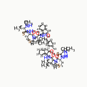 CN[C@@H](C)C(=S)N[C@H]1CCS[C@H]2CC(C)(C)[C@@H](C(=O)N[C@H]3c4ccccc4C[C@H]3OCc3ccc(CO[C@@H]4Cc5ccccc5[C@@H]4NC(=O)[C@H]4N5C(=O)[C@@H](NC(=S)[C@H](C)NC)CCS[C@H]5CC4(C)C)cc3)N2C1=O